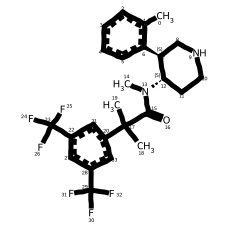 Cc1ccccc1[C@H]1CNCC[C@@H]1N(C)C(=O)C(C)(C)c1cc(C(F)(F)F)cc(C(F)(F)F)c1